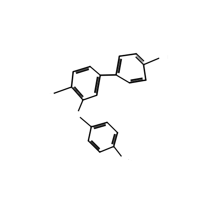 CCCCc1ccc(Oc2cc(-c3ccc(C)cc3)ccc2CCC)cc1